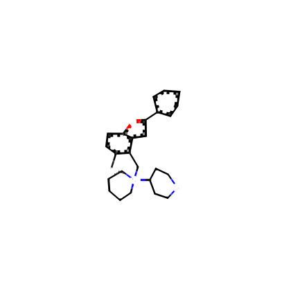 COc1ccc2oc(-c3ccccc3)cc2c1C[N+]1(C2CCNCC2)CCCCC1